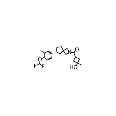 Cc1cc([C@@H]2CCC3(C2)CN(C(=O)C2CC(C)(O)C2)C3)ccc1OC(F)F